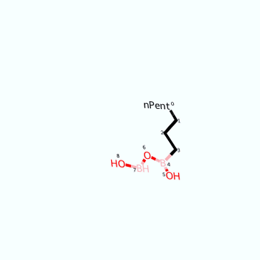 CCCCCCCCB(O)OBO